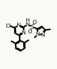 Cc1cc(S(=O)(=O)Nc2nc(Cl)cc(-c3c(C)cccc3C)n2)n(C)n1